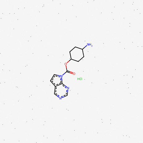 Cl.NC1CCC(OC(=O)n2ccc3cncnc32)CC1